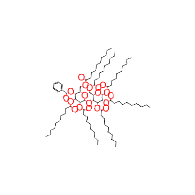 CCCCCCCCCC(=O)OC[C@H]1O[C@@H](O[C@H]2[C@H](OC(=O)CCCCCCCCC)[C@@H](OC(=O)CCCCCCCCC)[C@H](OC(=O)CCCCCCCCC)O[C@@H]2COC(=O)CCCCCCCCC)[C@H](OC(=O)CCCCCCCCC)[C@@H](OC(=O)CCCCCCCCC)[C@@H]1OC(=O)c1ccccc1